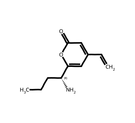 C=Cc1cc([C@H](N)CCC)oc(=O)c1